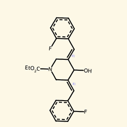 CCOC(=O)N1C/C(=C\c2ccccc2F)C(O)/C(=C/c2ccccc2F)C1